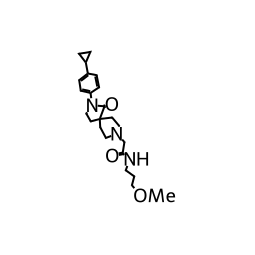 COCCCNC(=O)CN1CCC2(CC1)CCN(c1ccc(C3CC3)cc1)C2=O